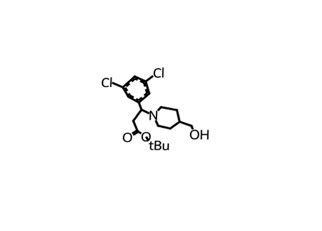 CC(C)(C)OC(=O)CC(c1cc(Cl)cc(Cl)c1)N1CCC(CO)CC1